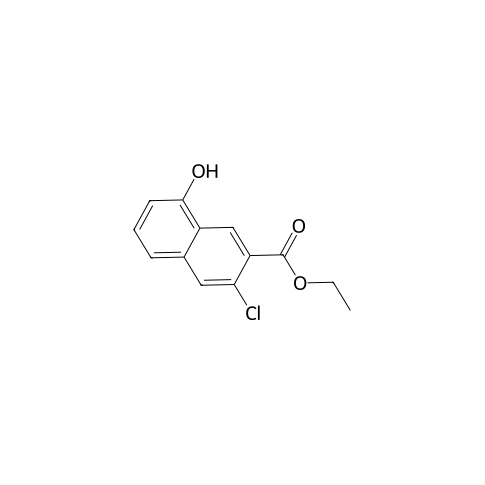 CCOC(=O)c1cc2c(O)cccc2cc1Cl